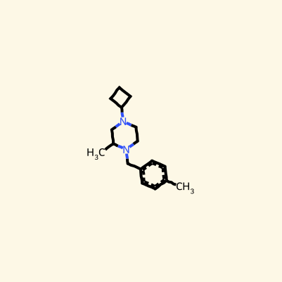 Cc1ccc(CN2CCN(C3CCC3)CC2C)cc1